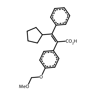 COCOc1ccc(C(C(=O)O)=C(c2ccccc2)C2CCCC2)cc1